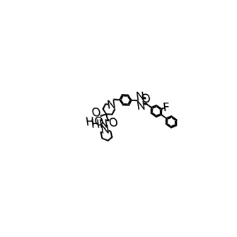 O=C(O)C1(C(=O)NN2CCCCC2)CCN(Cc2ccc(-c3noc(-c4ccc(-c5ccccc5)c(F)c4)n3)cc2)CC1